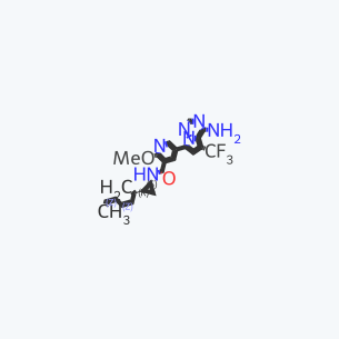 C=C(/C=C\C=C/C)[C@H]1C[C@@H]1NC(=O)c1cc(-c2cc(C(F)(F)F)c3c(N)ncnn23)cnc1OC